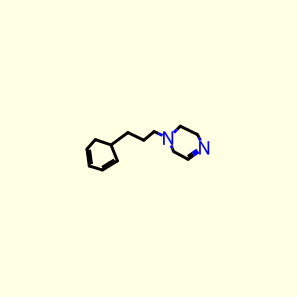 C1=CCC(CCCN2CC=NCC2)C=C1